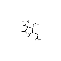 CC1O[C@H](CO)[C@@H](O)[C@@]1(C)N